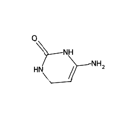 NC1=CCNC(=O)N1